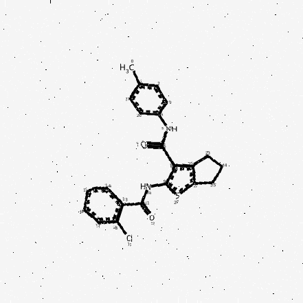 Cc1ccc(NC(=O)c2c(NC(=O)c3ccccc3Cl)sc3c2CCC3)cc1